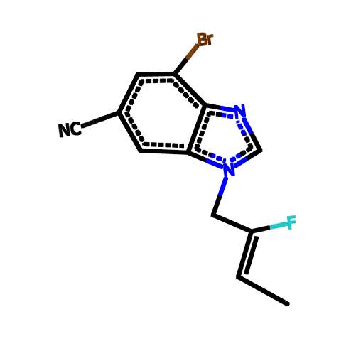 CC=C(F)Cn1cnc2c(Br)cc(C#N)cc21